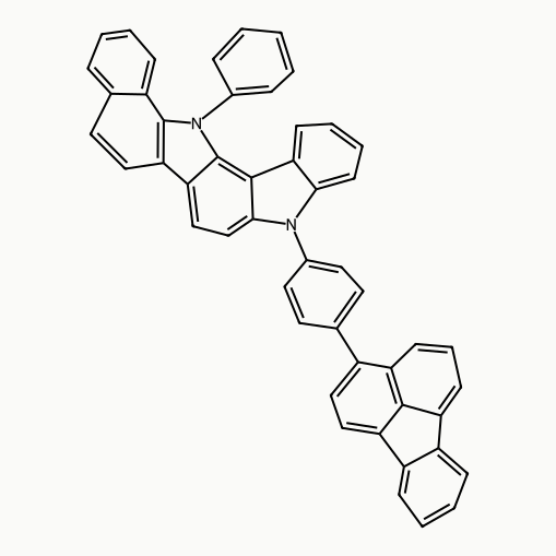 c1ccc(-n2c3c4ccccc4ccc3c3ccc4c(c5ccccc5n4-c4ccc(-c5ccc6c7c(cccc57)-c5ccccc5-6)cc4)c32)cc1